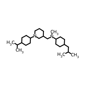 CC(C)CC1CCC(N(C)CC2CCCN(C3CCC(C(C)C)CC3)C2)CC1